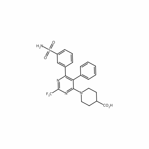 NS(=O)(=O)c1cccc(-c2nc(C(F)(F)F)nc(N3CCC(C(=O)O)CC3)c2-c2ccccc2)c1